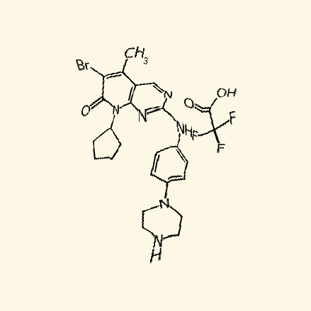 Cc1c(Br)c(=O)n(C2CCCC2)c2nc(Nc3ccc(N4CCNCC4)cc3)ncc12.O=C(O)C(F)(F)F